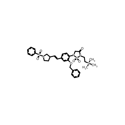 C[Si](C)(C)CCN1C(=O)CN(c2ccc(C=CC3CCN(S(=O)(=O)c4ccccc4)C3)cc2OCc2ccccc2)S1(=O)=O